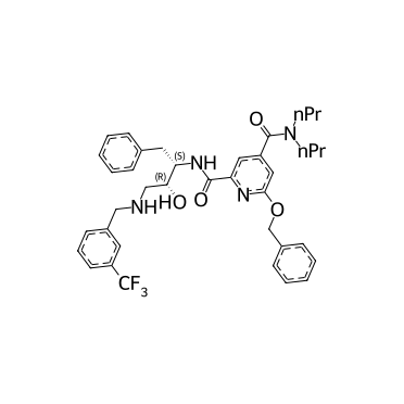 CCCN(CCC)C(=O)c1cc(OCc2ccccc2)nc(C(=O)N[C@@H](Cc2ccccc2)[C@H](O)CNCc2cccc(C(F)(F)F)c2)c1